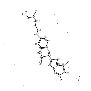 Cc1cn2cc(-c3cc4ccc(CCCNC(C)CO)cc4oc3=O)nc2c(C)n1